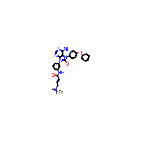 CCCN(C)C/C=C/C(=O)Nc1cccc(-n2c(=O)n(-c3ccc(Oc4ccccc4)cc3)c3c(N)ncnc32)c1